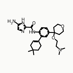 CN(C)CCOC1(c2ccc(NC(=O)c3ncc(N)[nH]3)c(C3=CCC(C)(C)CC3)c2)CCOCC1